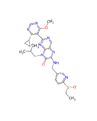 CC[S+]([O-])c1ccc(CNc2nc3cnc(-c4c(OC)ncnc4C4CC4)nc3n(CC(C)C)c2=O)cn1